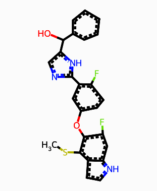 CSc1c(Oc2ccc(F)c(-c3ncc(C(O)c4ccccc4)[nH]3)c2)c(F)cc2[nH]ccc12